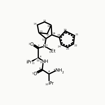 CCN(C(=O)[C@@H](NC(=O)C(N)C(C)C)C(C)C)C1C2CCC(C2)C1c1ccccc1